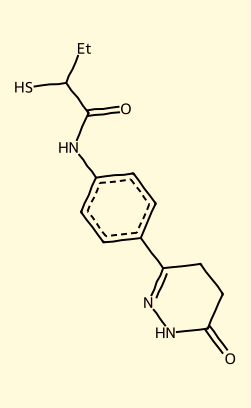 CCC(S)C(=O)Nc1ccc(C2=NNC(=O)CC2)cc1